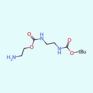 CC(C)(C)OC(=O)NCCNC(=O)OCCN